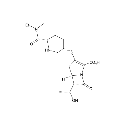 CCN(C)C(=O)[C@@H]1CC[C@H](SC2=C(C(=O)O)N3C(=O)[C@H]([C@@H](C)O)[C@H]3C2)CN1